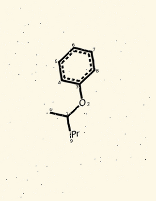 [CH2]C(Oc1ccccc1)C(C)C